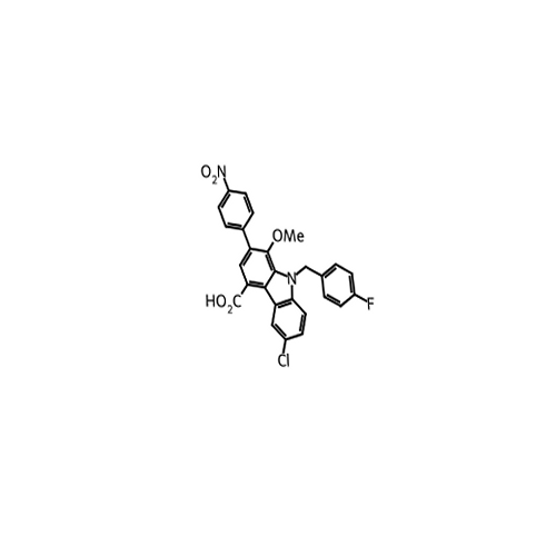 COc1c(-c2ccc([N+](=O)[O-])cc2)cc(C(=O)O)c2c3cc(Cl)ccc3n(Cc3ccc(F)cc3)c12